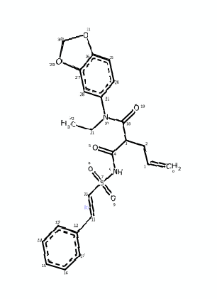 C=CCC(C(=O)NS(=O)(=O)/C=C/c1ccccc1)C(=O)N(CC)c1ccc2c(c1)OCO2